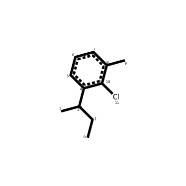 CC[C](C)c1cccc(C)c1Cl